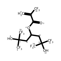 C=C(C(=O)OC(CC(O)(C(F)(F)F)C(F)(F)F)CC(O)(C(F)(F)F)C(F)(F)F)C(F)(F)F